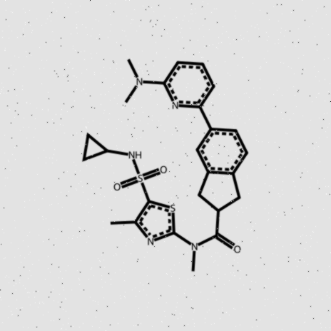 Cc1nc(N(C)C(=O)C2Cc3ccc(-c4cccc(N(C)C)n4)cc3C2)sc1S(=O)(=O)NC1CC1